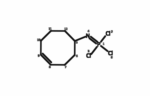 ClP(Cl)(Cl)=NC1CC/C=C\CCC1